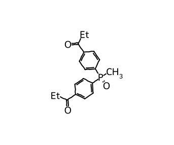 CCC(=O)c1ccc(P(C)(=O)c2ccc(C(=O)CC)cc2)cc1